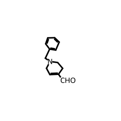 O=CC1=CCN(Cc2ccccc2)CC1